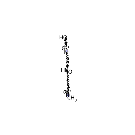 C/N=C/[S+]([O-])CCSCSCSCCSC(=O)NCCSCSCSCC/N=C/[S+]([O-])CSCSCO